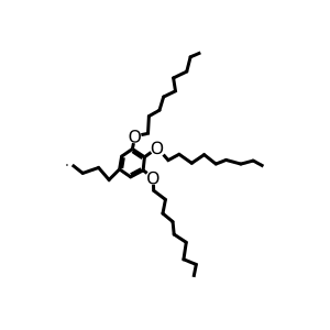 [CH2]CCCc1cc(OCCCCCCCCC)c(OCCCCCCCCC)c(OCCCCCCCCC)c1